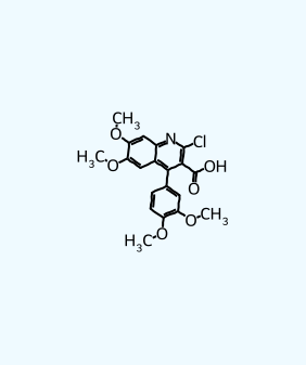 COc1ccc(-c2c(C(=O)O)c(Cl)nc3cc(OC)c(OC)cc23)cc1OC